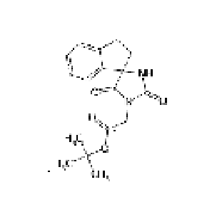 CC(C)(C)OC(=O)CN1C(=O)NC2(CCc3ccccc32)C1=O